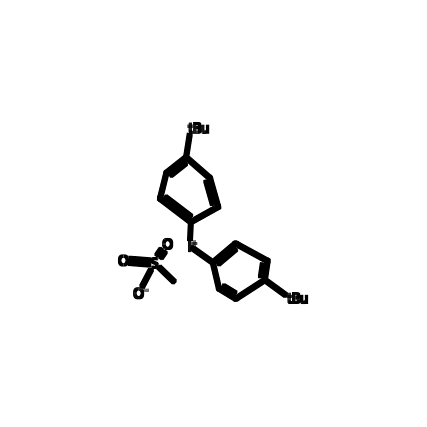 CC(C)(C)c1ccc([I+]c2ccc(C(C)(C)C)cc2)cc1.CS(=O)(=O)[O-]